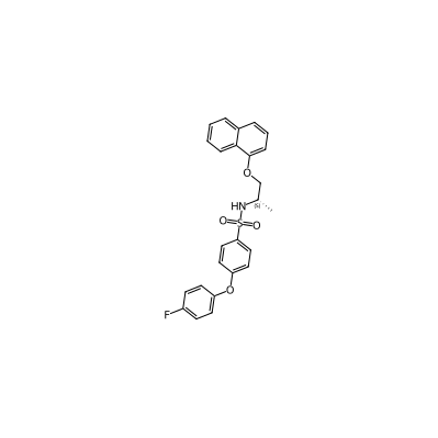 C[C@@H](COc1cccc2ccccc12)NS(=O)(=O)c1ccc(Oc2ccc(F)cc2)cc1